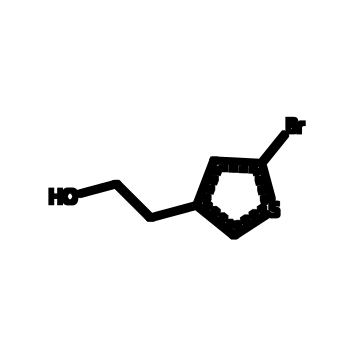 OCCc1csc(Br)c1